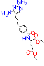 CCOC(=O)CC[C@H](NC(=O)c1ccc(CCCc2cnc(N)nc2N)cc1)C(=O)OCC